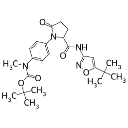 CN(C(=O)OC(C)(C)C)c1ccc(N2C(=O)CCC2C(=O)Nc2cc(C(C)(C)C)on2)cc1